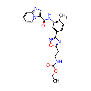 CCOC(=O)NCCc1nc(-c2ccc(C)c(NC(=O)c3cnc4ccccn34)c2)no1